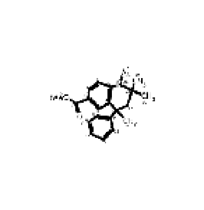 COC(=O)c1ccc2c(c1)C(C)(c1ccccc1)CC(C)(C)N2C(C)=O